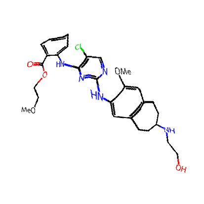 COCCOC(=O)c1ccccc1Nc1nc(Nc2cc3c(cc2OC)CCC(NCCO)CC3)ncc1Cl